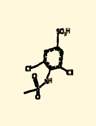 CS(=O)(=O)Nc1c(Cl)cc(S(=O)(=O)O)cc1Cl